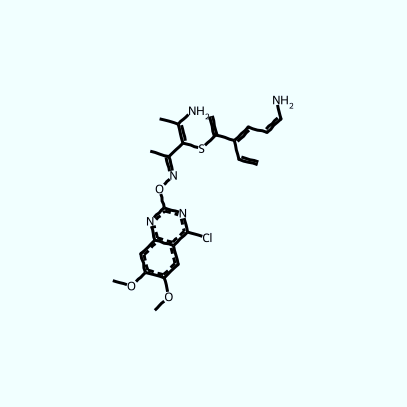 C=C/C(=C\C=C/N)C(=C)SC(=C(/C)N)/C(C)=N/Oc1nc(Cl)c2cc(OC)c(OC)cc2n1